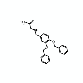 NC(=O)CNCc1ccc(OCc2ccccc2)c(OCc2ccccc2)c1